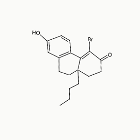 CCCCC12CCC(=O)C(Br)=C1c1ccc(O)cc1CC2